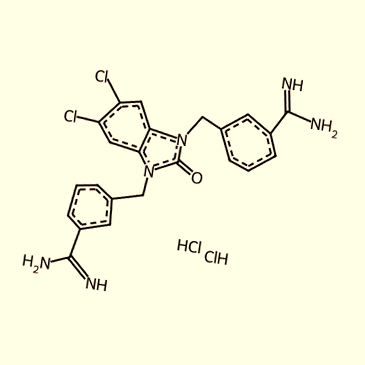 Cl.Cl.N=C(N)c1cccc(Cn2c(=O)n(Cc3cccc(C(=N)N)c3)c3cc(Cl)c(Cl)cc32)c1